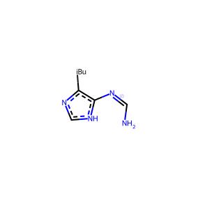 CCC(C)c1nc[nH]c1/N=C\N